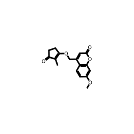 COc1ccc2c(COC3=C(C)C(=O)CC3)cc(=O)oc2c1